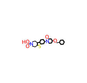 O=C(O)N1CCc2sc3cc(-n4ccc(OCc5ccccc5)cc4=O)ccc3c2CC1